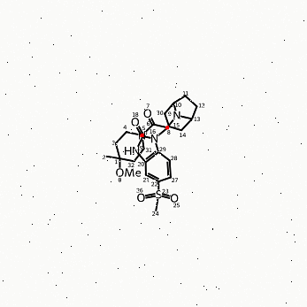 COC1(C)CCN(C(=O)CN2C3CCC2CC(n2c(=O)[nH]c4cc(S(C)(=O)=O)ccc42)C3)CC1